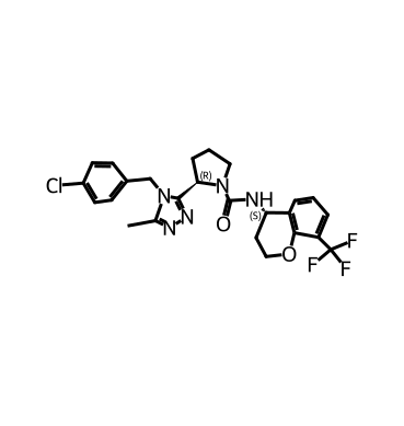 Cc1nnc([C@H]2CCCN2C(=O)N[C@H]2CCOc3c2cccc3C(F)(F)F)n1Cc1ccc(Cl)cc1